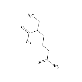 CCC(CCCC(N)=O)C(=O)O